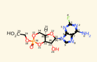 Nc1nc(F)nc2c1ncn2[C@@H]1O[C@@H]2COP(=O)(OCC(=O)O)OC2[C@H]1O